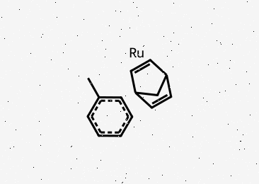 C1=CC2C=CC1C2.Cc1ccccc1.[Ru]